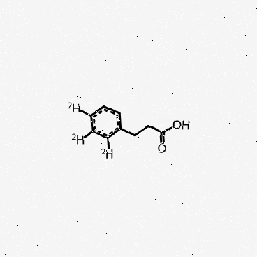 [2H]c1ccc(CCC(=O)O)c([2H])c1[2H]